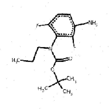 CCCN(C(=O)OC(C)(C)C)c1c(F)ccc(N)c1F